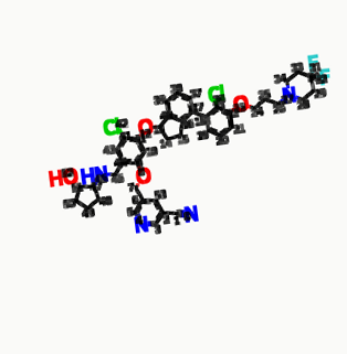 N#Cc1cncc(COc2cc(O[C@H]3CCc4c(-c5cccc(OCCCN6CCC(F)(F)CC6)c5Cl)cccc43)c(Cl)cc2CN[C@H]2CCC[C@@H]2O)c1